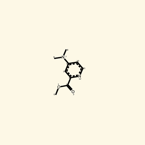 COC(=O)c1cc(N(C)C)ccn1